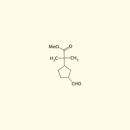 COC(=O)C(C)(C)C1CCC(C=O)C1